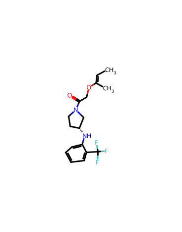 C/C=C(\C)OCC(=O)N1CC[C@@H](Nc2ccccc2C(F)(F)F)C1